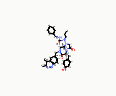 CCCN(C(=O)NCc1ccccc1)N1CC(=O)N2[C@@H](Cc3ccc(O)cc3)C(=O)N(Cc3ccc4c(c3)C(C)C(C)N=N4)C[C@@H]21